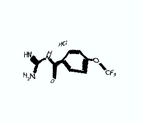 Cl.N=C(N)NC(=O)c1ccc(OC(F)(F)F)cc1